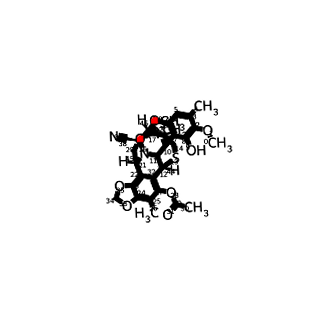 COc1c(C)cc2c(c1O)C1C3[C@@H]4SCC(C)C(=O)OC[C@@H](c5c6c(c(C)c(OC(C)=O)c54)OCO6)N3[C@@H](C#N)[C@H](C2)N1C